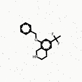 CC(F)(F)c1cc2c(c(OCc3ccccc3)c1)CNCC2